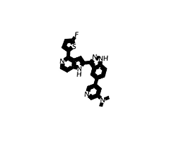 CN(C)c1cncc(-c2ccc3[nH]nc(-c4cc5c(-c6ccc(F)s6)nccc5[nH]4)c3c2)c1